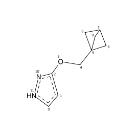 c1cc(OCC23CC(C2)C3)n[nH]1